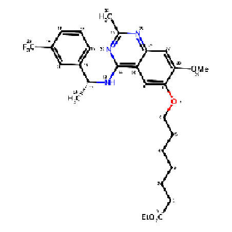 CCOC(=O)CCCCCCOc1cc2c(N[C@H](C)c3cccc(C(F)(F)F)c3)nc(C)nc2cc1OC